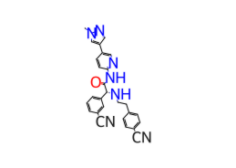 Cn1cc(-c2ccc(NC(=O)[C@H](NCCc3ccc(C#N)cc3)c3cccc(C#N)c3)nc2)cn1